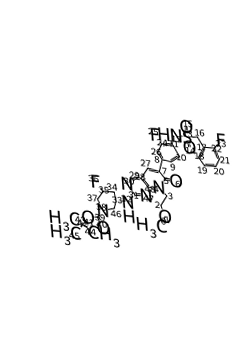 COCCn1c(=O)c(-c2ccc(NS(=O)(=O)Cc3ccccc3F)c(F)c2)cc2cnc(N[C@H]3C[C@H](F)CN(C(=O)OC(C)(C)C)C3)nc21